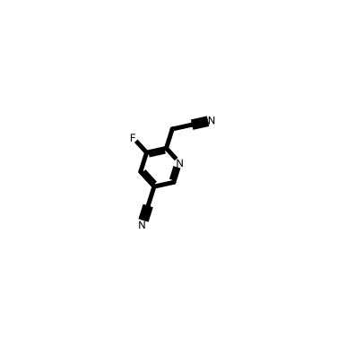 N#CCc1ncc(C#N)cc1F